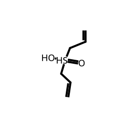 C=CC[SH](=O)(O)CC=C